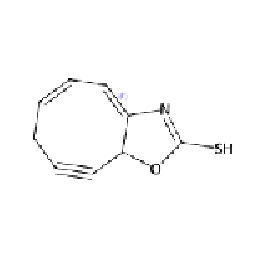 SC1=N/C2=C/C=CCC#CC2O1